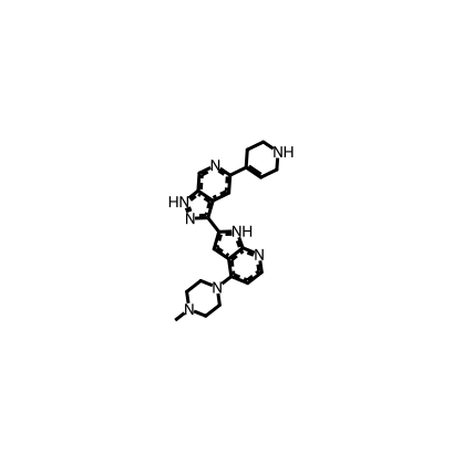 CN1CCN(c2ccnc3[nH]c(-c4n[nH]c5cnc(C6=CCNCC6)cc45)cc23)CC1